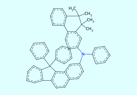 CC1(C)c2ccccc2-c2ccc(N(c3ccccc3)c3ccc4ccc5c(c4c3)C(c3ccccc3)(c3ccccc3)c3ccccc3-5)cc2C1(C)C